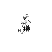 [3H]c1c(SC(F)(F)F)cccc1-n1nnn(C)c1=O